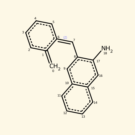 C=c1cccc/c1=C/c1cc2ccccc2cc1N